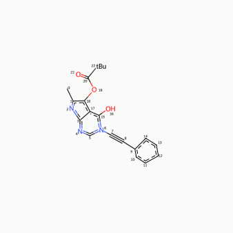 Cc1nc2ncn(C#Cc3ccccc3)c(O)c-2c1OC(=O)C(C)(C)C